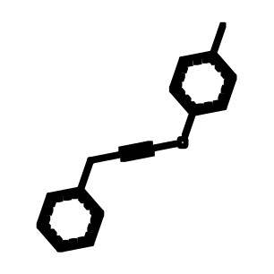 Cc1ccc(OC#CCc2ccccc2)cc1